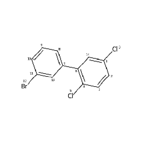 Clc1ccc(Cl)c(-c2cc[c]c(Br)c2)c1